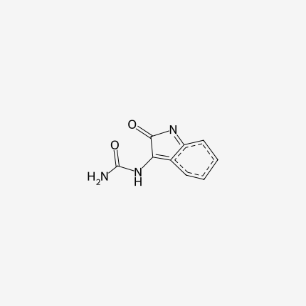 NC(=O)NC1=c2ccccc2=NC1=O